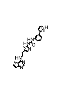 O=C(Nc1cccc(-c2cc[nH]n2)c1)Nc1ncc(CCNc2ncnc3ccsc23)s1